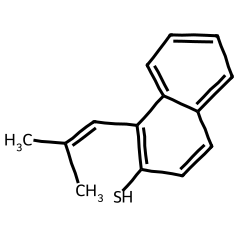 CC(C)=Cc1c(S)ccc2ccccc12